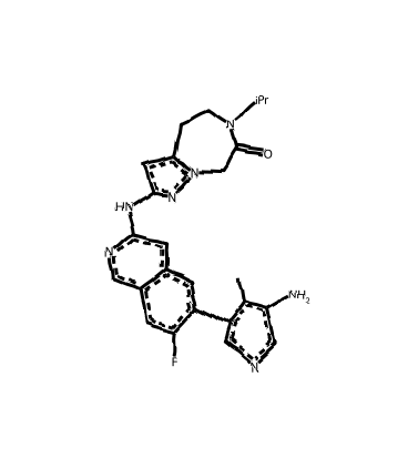 Cc1c(N)cncc1-c1cc2cc(Nc3cc4n(n3)CC(=O)N(C(C)C)CC4)ncc2cc1F